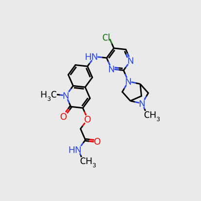 CNC(=O)COc1cc2cc(Nc3nc(N4CC5CC4CN5C)ncc3Cl)ccc2n(C)c1=O